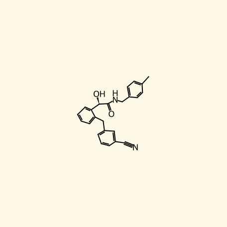 Cc1ccc(CNC(=O)[C@H](O)c2ccccc2Cc2cccc(C#N)c2)cc1